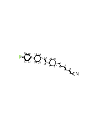 N#CC=CC=CCC[C@H]1CC[C@H](C=C[C@H]2CC[C@H](c3ccc(F)cc3)CC2)CC1